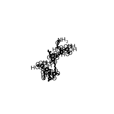 C=C(CC)CN1CC(O)N(C(=O)OCc2ccc(OC3O[C@H](C(=O)O)[C@@H](O)[C@H](O)[C@H]3O)c(C(=O)NC(C)(C)CCOC(C)(C)N)c2)c2cc(OCCCCCOc3cc4c(cc3OC)C(=O)N3CC(=C)CC3C(O)N4C(=O)OCc3ccc(OC4O[C@H](C(=O)O)[C@@H](O)[C@H](O)[C@H]4O)c(C(=O)NCCOC)c3)c(OC)cc2C1=O